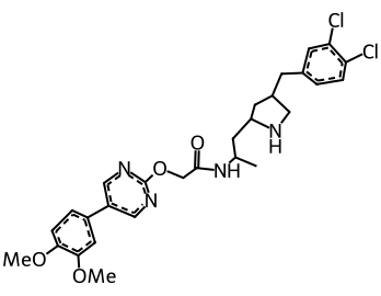 COc1ccc(-c2cnc(OCC(=O)NC(C)CC3CC(Cc4ccc(Cl)c(Cl)c4)CN3)nc2)cc1OC